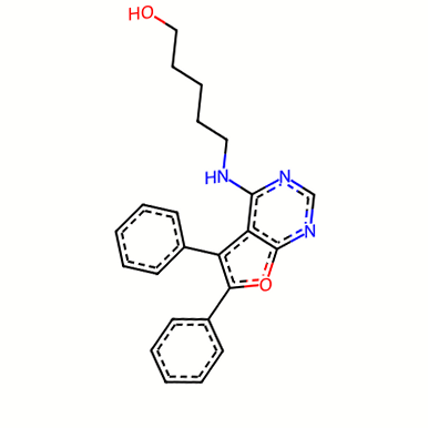 OCCCCCNc1ncnc2oc(-c3ccccc3)c(-c3ccccc3)c12